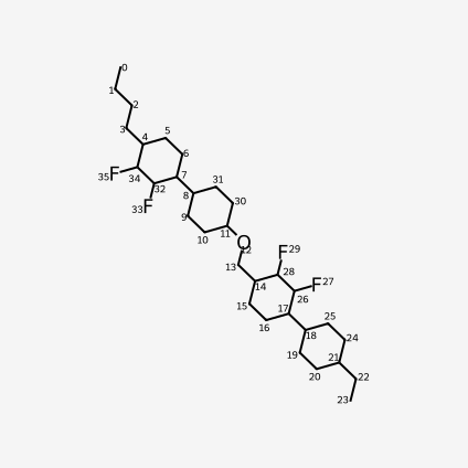 CCCCC1CCC(C2CCC(OCC3CCC(C4CCC(CC)CC4)C(F)C3F)CC2)C(F)C1F